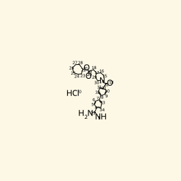 Cl.N=C(N)c1ccc(-c2ccc(C(=O)N3CCC(CC(=O)OC4CCCCCC4)CC3)cc2)cc1